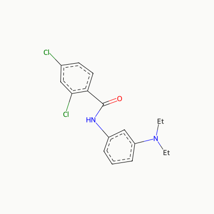 CCN(CC)c1cccc(NC(=O)c2ccc(Cl)cc2Cl)c1